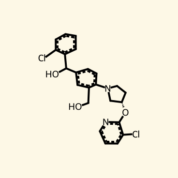 OCc1cc(C(O)c2ccccc2Cl)ccc1N1CC[C@H](Oc2ncccc2Cl)C1